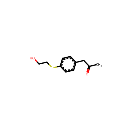 CC(=O)Cc1ccc(SCCO)cc1